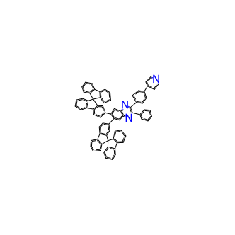 c1ccc(-c2nc3cc(-c4ccc5c(c4)C4(c6ccccc6-c6ccccc64)c4ccccc4-5)c(-c4ccc5c(c4)C4(c6ccccc6-c6ccccc64)c4ccccc4-5)cc3nc2-c2ccc(-c3ccncc3)cc2)cc1